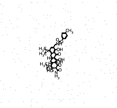 Cc1ccc(OC(=O)NCc2cc(N(C)C)c3c(c2O)C(=O)C2=C(O)[C@]4(O)C(=O)C(C(N)=O)C(O)[C@@H](N(C)C)[C@@H]4C[C@@H]2C3)cc1